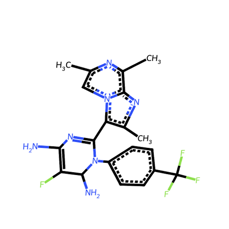 Cc1cn2c(C3=NC(N)=C(F)C(N)N3c3ccc(C(F)(F)F)cc3)c(C)nc2c(C)n1